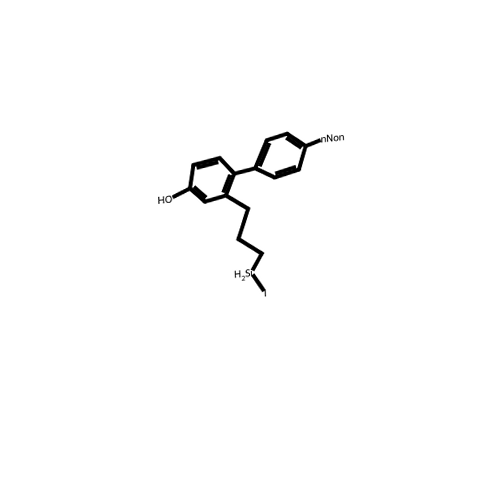 CCCCCCCCCc1ccc(-c2ccc(O)cc2CCC[SiH2]I)cc1